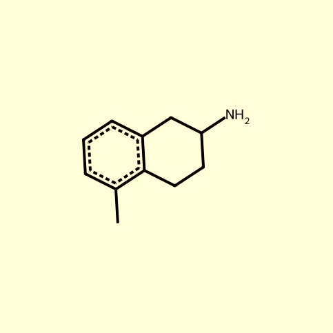 Cc1cccc2c1CCC(N)C2